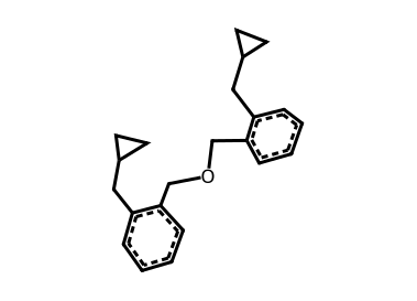 c1ccc(CC2CC2)c(COCc2ccccc2CC2CC2)c1